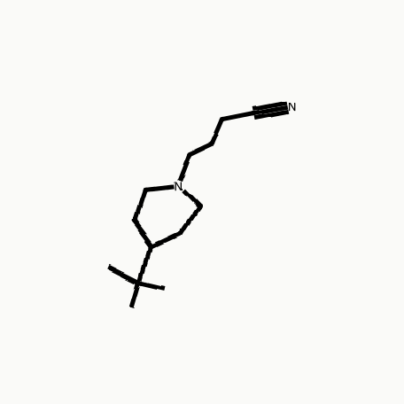 CC(C)(C)C1CCN(CCCC#N)CC1